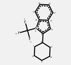 FC(F)(F)n1c(C2CCCCC2)cc2ccccc21